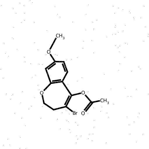 COc1ccc2c(c1)OCCC(Br)=C2OC(C)=O